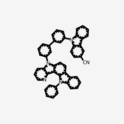 N#Cc1ccc2c(c1)c1ccccc1n2-c1cccc(-c2cccc(-n3c4cccnc4c4c3ccc3c5ccccc5n(-c5ccccc5)c34)c2)c1